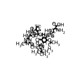 CC(C)Oc1cc(-n2nc(C(C)(C)C)oc2=O)c(Cl)cc1Cl.COc1nc(C)nc(NC(=O)NS(=O)(=O)c2ccsc2C(=O)O)n1.CP(=O)(O)CCC(N)C(=O)O